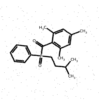 Cc1cc(C)c(C(=O)P(=O)(CCC(C)C)c2ccccc2)c(C)c1